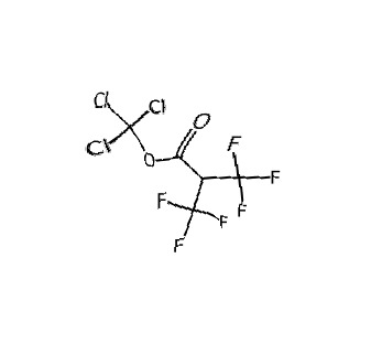 O=C(OC(Cl)(Cl)Cl)C(C(F)(F)F)C(F)(F)F